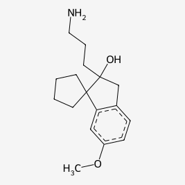 COc1ccc2c(c1)C1(CCCC1)C(O)(CCCN)C2